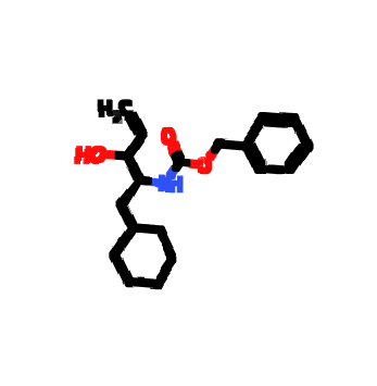 C=CC(O)[C@H](CC1CCCCC1)NC(=O)OCc1ccccc1